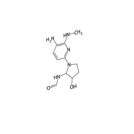 CNc1nc(N2CCC(O)C2NC=O)ccc1N